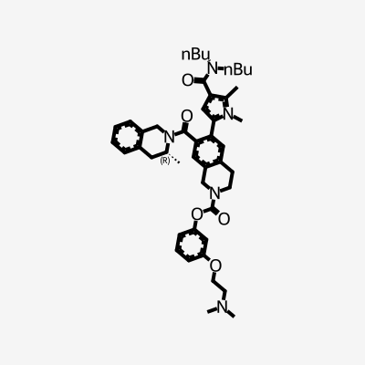 CCCCN(CCCC)C(=O)c1cc(-c2cc3c(cc2C(=O)N2Cc4ccccc4C[C@H]2C)CN(C(=O)Oc2cccc(OCCN(C)C)c2)CC3)n(C)c1C